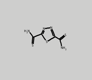 NC(=S)c1nnc(C(N)=S)s1